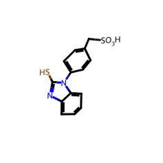 O=S(=O)(O)Cc1ccc(-n2c(S)nc3ccccc32)cc1